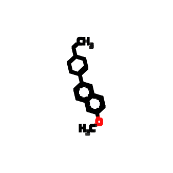 CCC1CC=C(c2ccc3cc(OC)ccc3c2)CC1